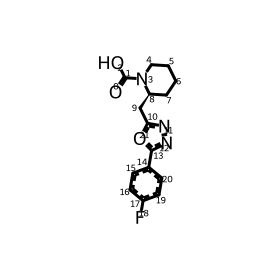 O=C(O)N1CCCC[C@H]1Cc1nnc(-c2ccc(F)cc2)o1